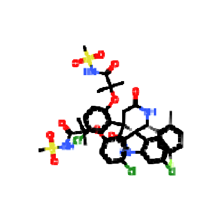 Cc1ccc(F)cc1[C@H]1NC(=O)CC(c2cc(Cl)ccc2OC(C)(C)C(=O)NS(C)(=O)=O)(c2cc(Cl)ccc2OC(C)(C)C(=O)NS(C)(=O)=O)[C@]12C(=O)Nc1cc(Cl)ccc12